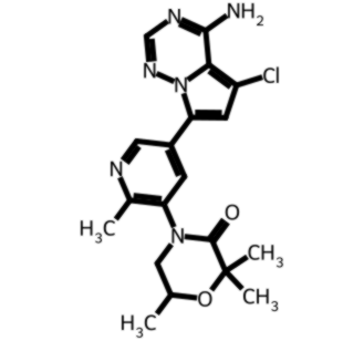 Cc1ncc(-c2cc(Cl)c3c(N)ncnn23)cc1N1CC(C)OC(C)(C)C1=O